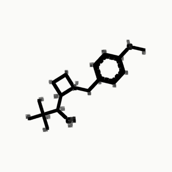 COc1ccc(CN2CCC2C(O)C(C)(C)C)cc1